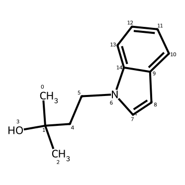 CC(C)(O)CCn1[c]cc2ccccc21